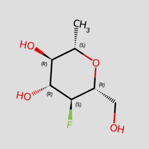 C[C@@H]1O[C@H](CO)[C@@H](F)[C@H](O)[C@H]1O